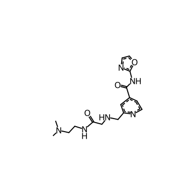 CN(C)CCNC(=O)CNCc1cc(C(=O)Nc2ncco2)ccn1